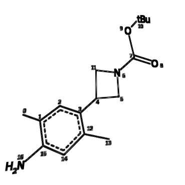 Cc1cc(C2CN(C(=O)OC(C)(C)C)C2)c(C)cc1N